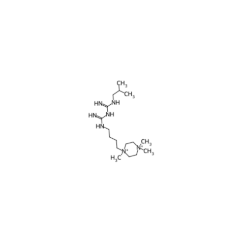 CC(C)CNC(=N)NC(=N)NCCCC[N+]1(C)CC[N+](C)(C)CC1